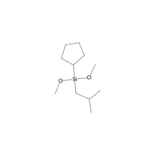 CO[Si](CC(C)C)(OC)C1CCCC1